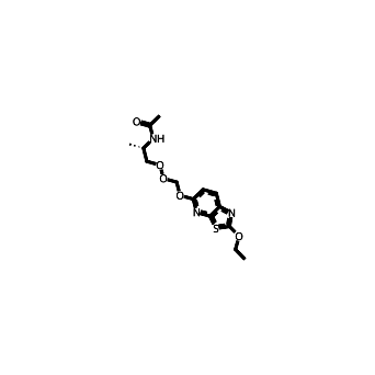 CCOc1nc2ccc(OCOOC[C@H](C)NC(C)=O)nc2s1